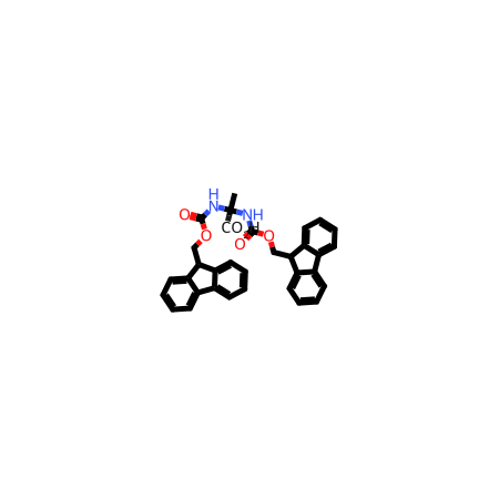 CC(NC(=O)OCC1c2ccccc2-c2ccccc21)(NC(=O)OCC1c2ccccc2-c2ccccc21)C(=O)O